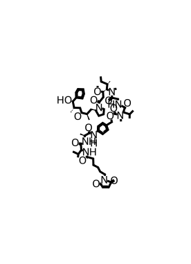 CC[C@H](C)[C@@H](C(CC(=O)N1CCC[C@H]1C[C@@H](C)C(=O)C[C@H](C)[C@@H](O)c1ccccc1)OC)N(C)C(=O)CNC(=O)C(C(C)C)N(C)C(=O)OCc1ccc(NC(=O)[C@H](C)NC(=O)C(NC(=O)CCCCCN2C(=O)C=CC2=O)C(C)C)cc1